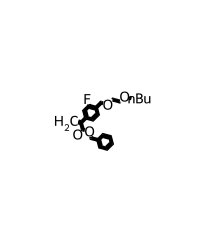 C=C(C(=O)OCc1ccccc1)c1ccc(COCCOCCCC)c(F)c1